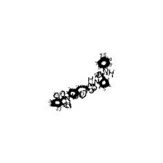 O=C(Nc1ccccc1C(=O)Nc1ccccc1)NC(Cc1ccc(NC(=O)c2c(Cl)cccc2Cl)cc1)C(=O)O